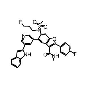 CNC(=O)c1c(-c2ccc(F)cc2)oc2cc(N(CCCF)S(C)(=O)=O)c(-c3cncc(-c4cc5ccccc5[nH]4)c3)cc12